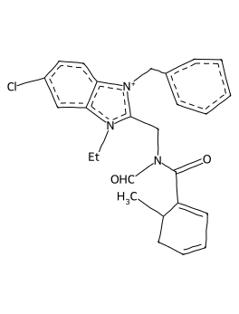 CCn1c(CN(C=O)C(=O)C2=CC=CCC2C)[n+](Cc2ccccc2)c2ccc(Cl)cc21